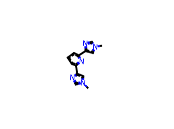 Cn1cnc(-c2cccc(-c3cn(C)cn3)n2)c1